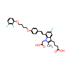 Cc1c(CCCC(=O)O)c2cc(F)cc(/C=C/c3ccc(OCCCCOc4cccc(F)c4F)cc3)c2n1CC(=O)O